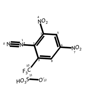 N#[N+]c1c([N+](=O)[O-])cc([N+](=O)[O-])cc1C(F)(F)F.O=S(=O)([O-])O